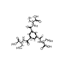 O=C(N[C@@H](CS)C(=O)O)c1cc(C(=O)N[C@@H](CS)C(=O)O)cc(C(=O)N[C@@H](CS)C(=O)O)c1